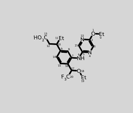 CCOc1cnc(Nc2cc(C(CC)CC(=O)O)ccc2C(OCC)C(F)(F)F)cn1